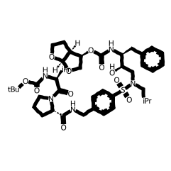 CC(C)CN(C[C@@H](O)[C@H](Cc1ccccc1)NC(=O)O[C@H]1CO[C@H]2OCC[C@H]21)S(=O)(=O)c1ccc(CNC(=O)[C@@H]2CCCN2C(=O)[C@@H](NC(=O)OC(C)(C)C)C(C)C)cc1